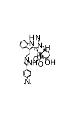 COC(=O)[C@@H]1[C@H]2C[C@@H](c3[nH]c4ccccc4c3CCn3cc(-c4ccc(N(C)C)cc4)[nH]3)N(C#N)C[C@@H]2CC[C@@H]1O